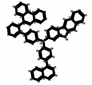 c1ccc(-c2cc3ccccc3c3ccccc23)c(-c2ccc(N(c3ccc(-c4cccc5ccccc45)cc3)c3ccc4c(c3)sc3cc5ccccc5cc34)cc2)c1